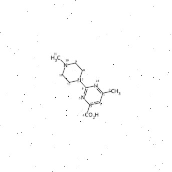 Cc1cc(C(=O)O)nc(N2CCN(C)CC2)n1